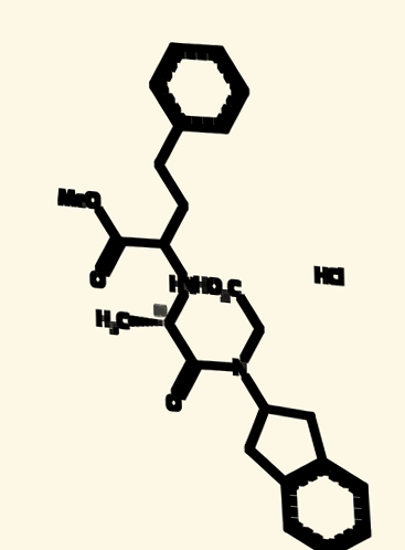 COC(=O)C(CCc1ccccc1)N[C@@H](C)C(=O)N(CC(=O)O)C1Cc2ccccc2C1.Cl